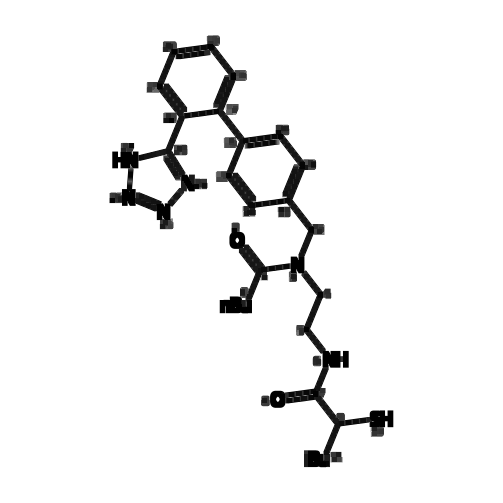 CCCCC(=O)N(CCNC(=O)C(S)C(C)CC)Cc1ccc(-c2ccccc2-c2nnn[nH]2)cc1